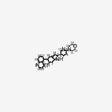 Clc1cc2[nH]c(-c3ccc(N4CCOCC4)nc3)cc2cc1-c1cccc2ncccc12